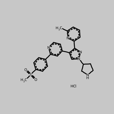 Cc1cccc(-c2nn(C3CCNC3)cc2-c2ccnc(-c3ccc(S(C)(=O)=O)cc3)c2)n1.Cl